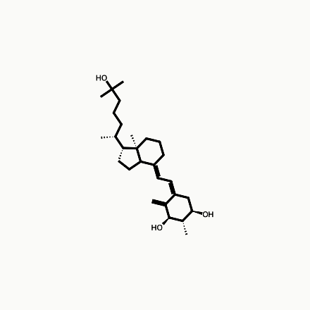 C=C1/C(=C\C=C2CCC[C@@]3(C)C2CC[C@@H]3[C@H](C)CCCC(C)(C)O)C[C@@H](O)[C@H](C)[C@H]1O